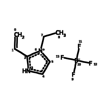 C=Cc1[nH]cc[n+]1CC.F[B-](F)(F)F